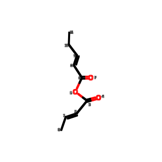 CC=CC(=O)OC(=O)C=CCC